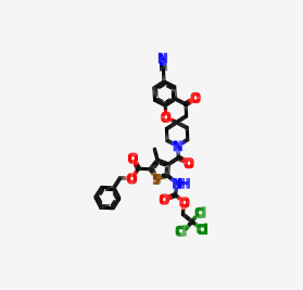 Cc1c(C(=O)OCc2ccccc2)sc(NC(=O)OCC(Cl)(Cl)Cl)c1C(=O)N1CCC2(CC1)CC(=O)c1cc(C#N)ccc1O2